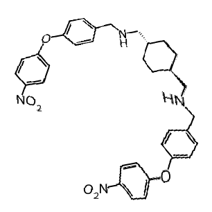 O=[N+]([O-])c1ccc(Oc2ccc(CNC[C@H]3CC[C@H](CNCc4ccc(Oc5ccc([N+](=O)[O-])cc5)cc4)CC3)cc2)cc1